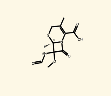 COC1(NC=O)C(=O)N2C(C(=O)O)=C(C)CS[C@@H]21